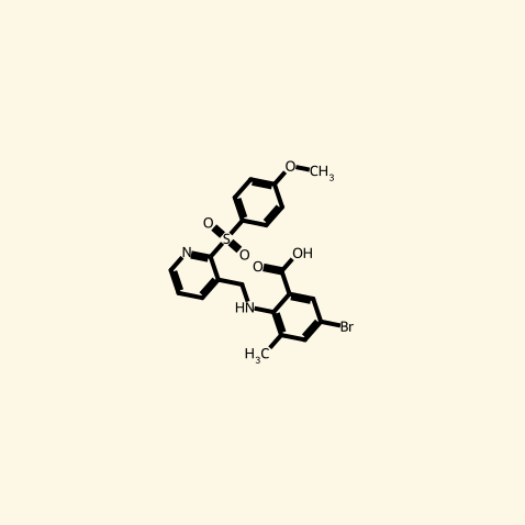 COc1ccc(S(=O)(=O)c2ncccc2CNc2c(C)cc(Br)cc2C(=O)O)cc1